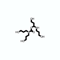 O=C(OC(CCO)NCCCO)N(CCCO)CCCO